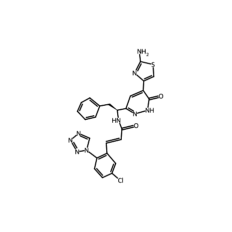 Nc1nc(-c2cc([C@H](Cc3ccccc3)NC(=O)/C=C/c3cc(Cl)ccc3-n3cnnn3)n[nH]c2=O)cs1